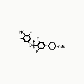 CCCC[C@H]1CC[C@H](c2cc(F)c(C(F)(F)Oc3cc(F)c(C#N)c(F)c3)c(F)c2)CC1